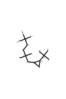 CC(C)(CCC(F)(F)F)CC1CC1C(C)(C)C